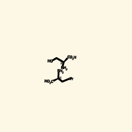 CC(C)C[C@H](N)C(=O)O.N[C@@H](CO)C(=O)O